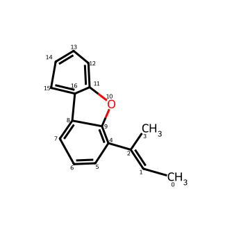 C/C=C(\C)c1cccc2c1oc1ccccc12